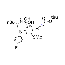 CCCCC1CN(c2ccc(F)cc2)c2cc(SC)c(O/C=C/C(=O)OC(C)(C)C)cc2S(O)(O)N1C